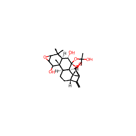 C=C1C2C(=O)[C@]34[C@H]2[C@H]1CC[C@H]3[C@]1(C)C(O)C2OC2C(C)(C)[C@H]1[C@H](O)[C@]4(OC)OC(C)(C)O